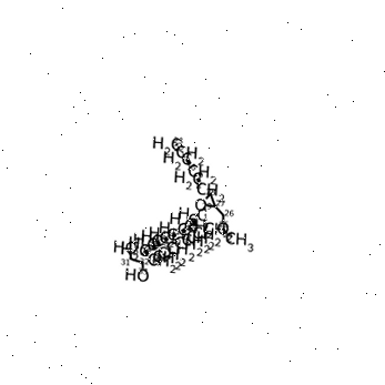 C=C.C=C.C=C.C=C.C=C.C=C.C=C.C=C.C=C.C=C.C=C.C=C.COCC1CO1.OCCO